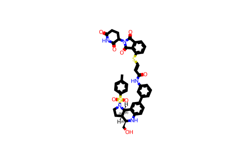 Cc1ccc(S(=O)(=O)N2CC[C@@H]3[C@H](CO)Nc4ccc(-c5cccc(NC(=O)C=CSc6cccc7c6C(=O)N(C6CCC(=O)NC6=O)C7=O)c5)cc4[C@@H]32)cc1